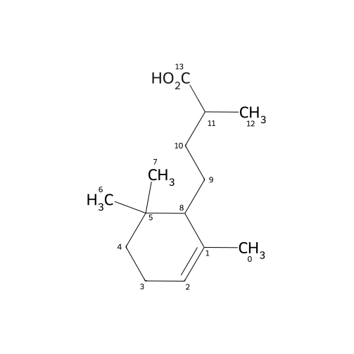 CC1=CCCC(C)(C)C1CCC(C)C(=O)O